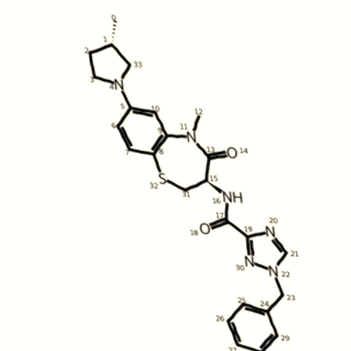 C[C@H]1CCN(c2ccc3c(c2)N(C)C(=O)[C@@H](NC(=O)c2ncn(Cc4ccccc4)n2)CS3)C1